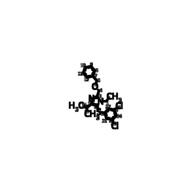 CCn1c(COCc2ccccc2)nc(C(C)C)c1Sc1cc(Cl)cc(Cl)c1